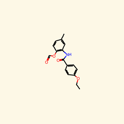 CCOc1ccc(C(=O)Nc2cc(C)ccc2OC=O)cc1